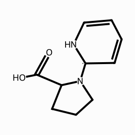 O=C(O)C1CCCN1[C]1C=CC=CN1